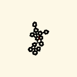 c1ccc(-c2ccc(C3(c4ccc(-c5ccccc5)cc4)c4ccccc4-c4cc(N(c5ccc6c(c5)C(c5ccccc5)(c5ccccc5)c5ccccc5-6)c5ccccc5-c5ccccc5)ccc43)cc2)cc1